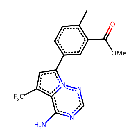 COC(=O)c1cc(-c2cc(C(F)(F)F)c3c(N)ncnn23)ccc1C